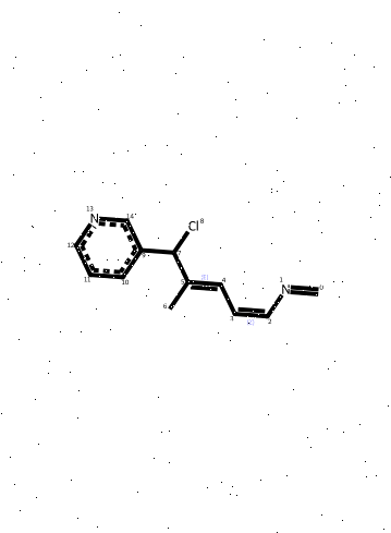 C=N/C=C\C=C(/C)C(Cl)c1cccnc1